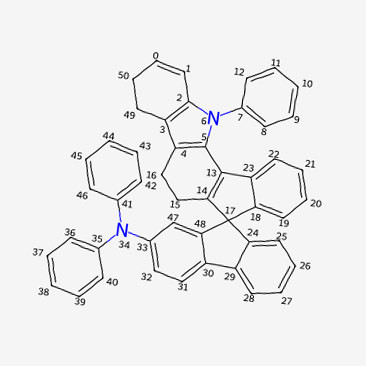 C1=Cc2c(c3c(n2-c2ccccc2)C2=C(CC3)C3(c4ccccc42)c2ccccc2-c2ccc(N(c4ccccc4)c4ccccc4)cc23)CC1